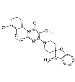 Cc1c(N2CCC3(CC2)Oc2ccccc2[C@H]3N)nc(C)n(C2=CCCC(Cl)=C2Cl)c1=O